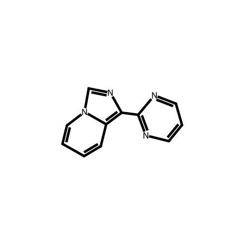 c1cnc(-c2ncn3ccccc23)nc1